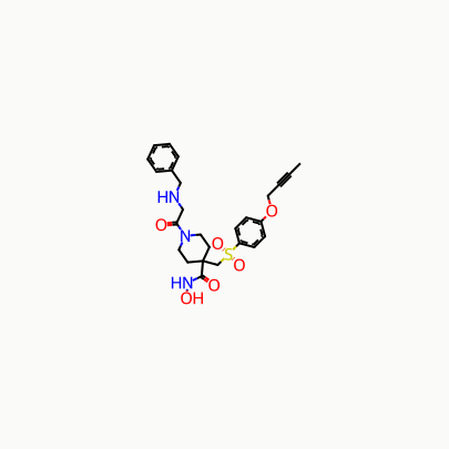 CC#CCOc1ccc(S(=O)(=O)CC2(C(=O)NO)CCN(C(=O)CNCc3ccccc3)CC2)cc1